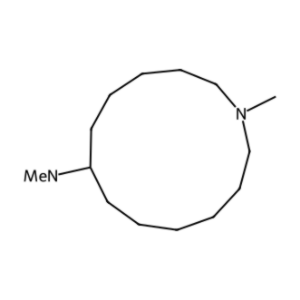 CNC1CCCCCCN(C)CCCCC1